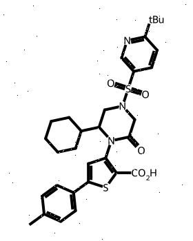 Cc1ccc(-c2cc(N3C(=O)CN(S(=O)(=O)c4ccc(C(C)(C)C)nc4)CC3C3CCCCC3)c(C(=O)O)s2)cc1